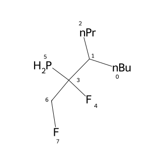 CCCCC(CCC)C(F)(P)CF